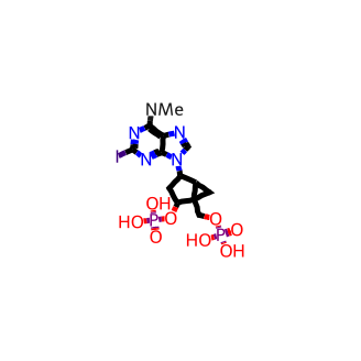 CNc1nc(I)nc2c1ncn2C1CC(OP(=O)(O)O)C2(COP(=O)(O)O)CC12